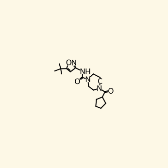 CC(C)(C)c1cc(NC(=O)N2CCCN(C(=O)C3CCCC3)CC2)no1